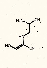 CC(N)CN/C(C#N)=C\O